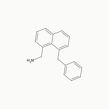 NCc1cccc2cccc(Cc3ccccc3)c12